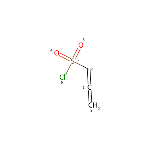 C=C=CS(=O)(=O)Cl